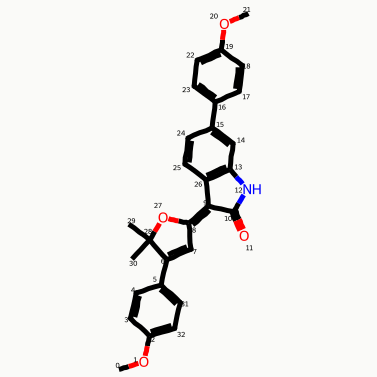 COc1ccc(C2=C/C(=C3\C(=O)Nc4cc(-c5ccc(OC)cc5)ccc43)OC2(C)C)cc1